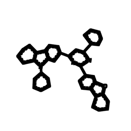 c1ccc(-c2cc(-c3ccc4c5ccccc5n(-c5ccccc5)c4c3)nc(-c3ccc4c(c3)oc3ccccc34)n2)cc1